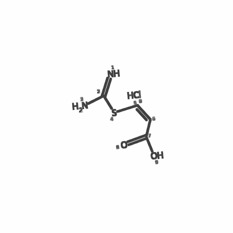 Cl.N=C(N)S/C=C\C(=O)O